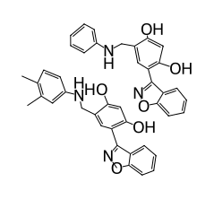 Cc1ccc(NCc2cc(-c3noc4ccccc34)c(O)cc2O)cc1C.Oc1cc(O)c(-c2noc3ccccc23)cc1CNc1ccccc1